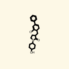 O=C1C(CC2CC=C(c3ccccc3)C=C2Cl)CCN1C1CCC(O)CC1